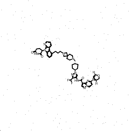 O=C1CCC(n2c3cccc(CCCN4CC5(CCN(C[C@H]6CC[C@H](n7cc(NC(=O)c8cnn9ccc(N%10C[C@H]%11C[C@@H]%10CO%11)nc89)c(C(F)F)n7)CC6)CC5)C4)c3c3cccnc32)C(=O)N1